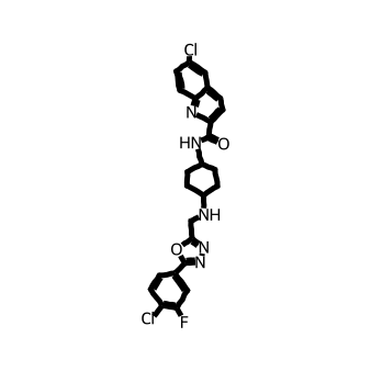 O=C(NC1CCC(NCc2nnc(-c3ccc(Cl)c(F)c3)o2)CC1)c1ccc2cc(Cl)ccc2n1